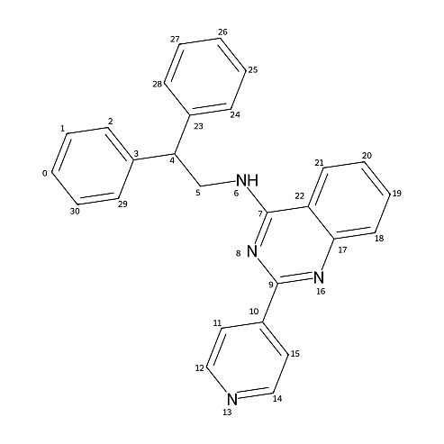 c1ccc(C(CNc2nc(-c3ccncc3)nc3ccccc23)c2ccccc2)cc1